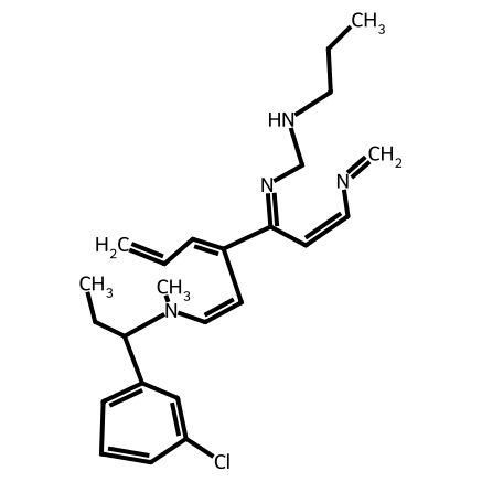 C=C/C=C(\C=C/N(C)C(CC)c1cccc(Cl)c1)C(/C=C\N=C)=NCNCCC